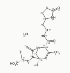 CC1=C[C@@H]2CN(C(=O)N2O[C@@H](F)C(=O)O)[C@@H]1C(=O)NOCC1CCC(=O)N1.[LiH]